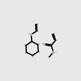 C=CC(=O)OC.C=COC1CCCCC1